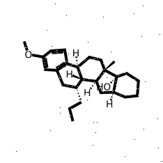 CCC[C@@H]1Cc2cc(OC)ccc2[C@H]2CC[C@@]3(C)[C@@H](C[C@@H]4CCCC[C@@]43O)[C@H]12